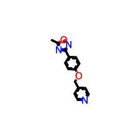 Cc1nc(-c2ccc(OCc3ccncc3)cc2)no1